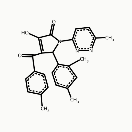 Cc1ccc(C(=O)C2=C(O)C(=O)N(c3ccc(C)nn3)C2c2ccc(C)cc2C)cc1